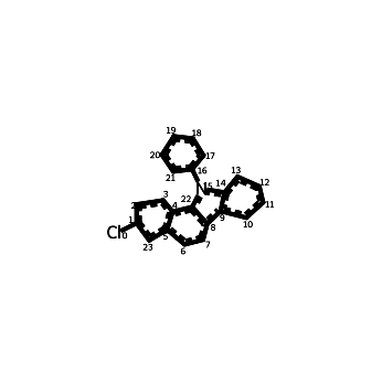 Clc1ccc2c(ccc3c4ccccc4n(-c4ccccc4)c23)c1